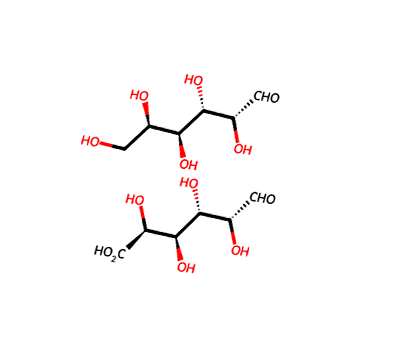 O=C[C@H](O)[C@@H](O)[C@@H](O)[C@H](O)C(=O)O.O=C[C@H](O)[C@@H](O)[C@@H](O)[C@H](O)CO